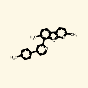 Cc1ccc(-c2ccnc(-c3c(C)ccc4c3oc3nc(C)ccc34)c2)cc1